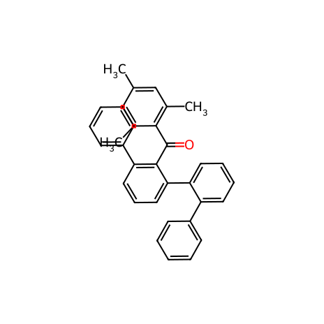 Cc1cc(C)c(C(=O)c2c(-c3ccccc3)cccc2-c2ccccc2-c2ccccc2)c(C)c1